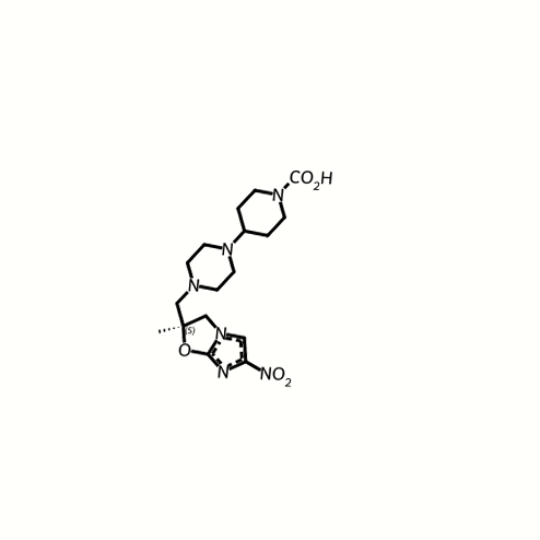 C[C@]1(CN2CCN(C3CCN(C(=O)O)CC3)CC2)Cn2cc([N+](=O)[O-])nc2O1